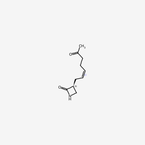 CC(=O)CC/C=C\C[C@H]1CNC1=O